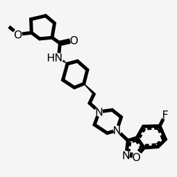 COC1CCCC(C(=O)N[C@H]2CC[C@H](CCN3CCN(c4noc5ccc(F)cc45)CC3)CC2)C1